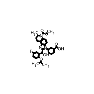 COC(=O)N1c2ccc3c(nc(C(O)c4cc(F)ccc4OC(C)C)n3C3CCCC(C(=O)O)C3)c2CC[C@@H]1C